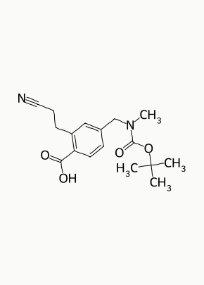 CN(Cc1ccc(C(=O)O)c(CCC#N)c1)C(=O)OC(C)(C)C